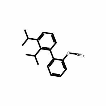 CC(C)c1cccc(-c2ccccc2O[SiH3])c1C(C)C